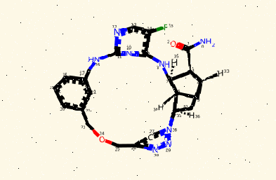 NC(=O)[C@H]1[C@H]2C[C@H]3[C@H]1Nc1nc(ncc1F)Nc1cccc(c1)COCc1cn(nn1)[C@@H]3C2